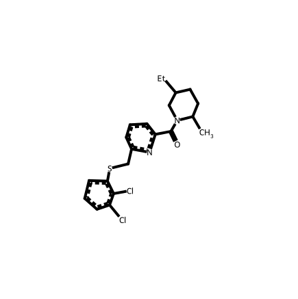 CCC1CCC(C)N(C(=O)c2cccc(CSc3cccc(Cl)c3Cl)n2)C1